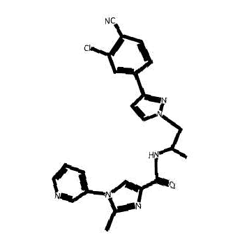 Cc1nc(C(=O)NC(C)Cn2ccc(-c3ccc(C#N)c(Cl)c3)n2)cn1-c1cccnc1